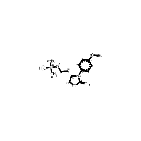 CCOc1ccc(N2C(=O)OC[C@@H]2CCO[Si](C)(C)C(C)(C)C)cc1